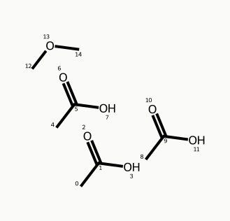 CC(=O)O.CC(=O)O.CC(=O)O.COC